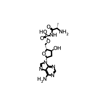 C[C@H](N)C(=O)NP(=O)(O)OC[C@H]1O[C@@H](n2cnc3c(N)ncnc32)C[C@@H]1O